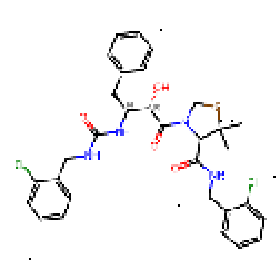 CC1(C)SCN(C(=O)[C@@H](O)[C@H](Cc2ccccc2)NC(=O)NCc2ccccc2Cl)C1C(=O)NCc1ccccc1Cl